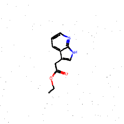 CCOC(=O)Cc1c[nH]c2ncccc12